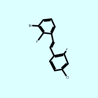 Fc1cc(Cl)ccc1/C=C/c1cccc(Br)c1F